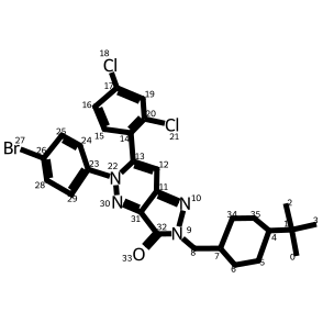 CC(C)(C)C1CCC(Cn2nc3cc(-c4ccc(Cl)cc4Cl)n(-c4ccc(Br)cc4)nc-3c2=O)CC1